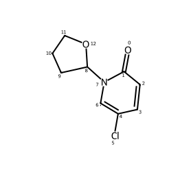 O=c1ccc(Cl)[c]n1C1CCCO1